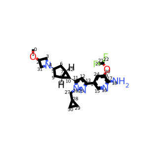 COC1CN([C@@H]2C[C@@H]3[C@H](C2)[C@H]3c2cc(-c3cnc(N)c(OC(F)F)c3)nn2CC2CC2)C1